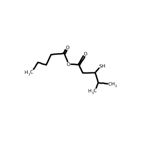 CCCCC(=O)OC(=O)CC(S)C(C)C